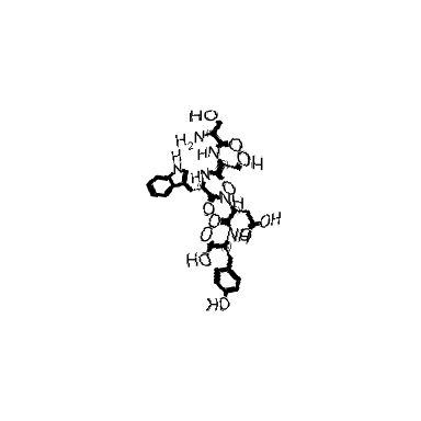 N[C@@H](CO)C(=O)N[C@@H](CO)C(=O)N[C@@H](Cc1c[nH]c2ccccc12)C(=O)N[C@@H](CC(=O)O)C(=O)N[C@@H](Cc1ccc(O)cc1)C(=O)O